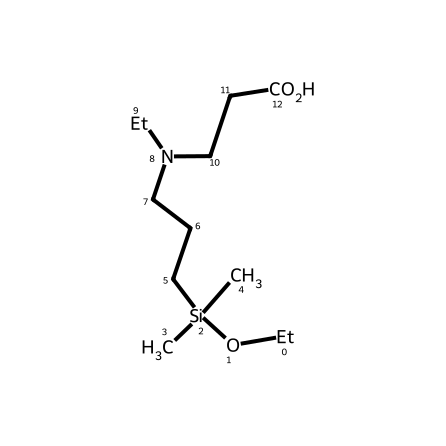 CCO[Si](C)(C)CCCN(CC)CCC(=O)O